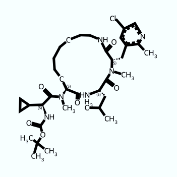 Cc1ncc(Cl)cc1C[C@H]1C(=O)NCCCCCCC[C@H](N(C)C(=O)[C@@H](NC(=O)OC(C)(C)C)C2CC2)C(=O)N[C@@H](CC(C)C)C(=O)N1C